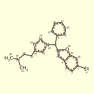 CCc1ccc2cc(C(c3ccccc3)n3cc(CCN(C)C)nn3)oc2c1